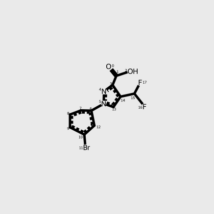 O=C(O)c1nn(-c2cccc(Br)c2)cc1C(F)F